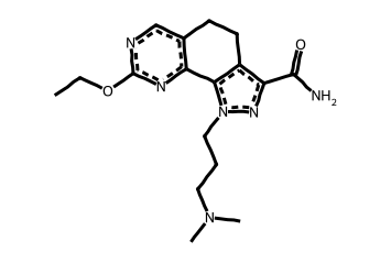 CCOc1ncc2c(n1)-c1c(c(C(N)=O)nn1CCCN(C)C)CC2